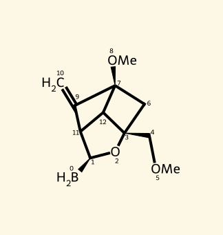 B[C@@H]1O[C@@]2(COC)C[C@@]3(OC)C(=C)C1C23